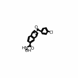 O=C(NO)c1ccc2c(c1)C1CCC2N1C(=O)c1ccc(Cl)cc1